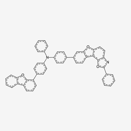 c1ccc(-c2nc3ccc4oc5cc(-c6ccc(N(c7ccccc7)c7ccc(-c8cccc9c8oc8ccccc89)cc7)cc6)ccc5c4c3o2)cc1